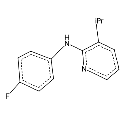 CC(C)c1cccnc1Nc1ccc(F)cc1